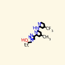 CCC(O)Cn1cc(-c2cc(C)cc(Nc3cc(C(F)(F)F)ccn3)n2)nn1